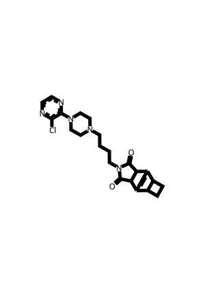 O=C1C2C3C=CC(C4CCC34)C2C(=O)N1CCCCN1CCN(c2nccnc2Cl)CC1